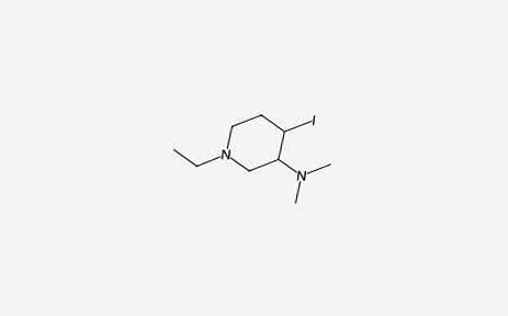 CCN1CCC(I)C(N(C)C)C1